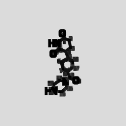 O=C1CCC(c2ccc(C(=O)N3CCNCC3)cc2)C(=O)N1